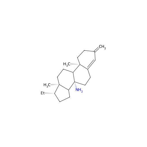 C=C1C=C2CC[C@]3(N)C(CC[C@@]4(C)C3CC[C@@H]4CC)[C@@]2(C)CC1